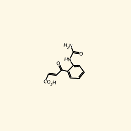 NC(=O)Nc1ccccc1C(=O)C=CC(=O)O